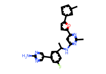 Cc1cccc(-c2ccc(-c3cc(NC(C)c4cc(F)cc(-c5cnc(N)nc5)c4)nc(C)n3)o2)c1